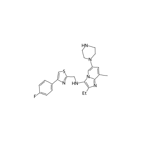 CCc1nc2c(C)cc(N3CCNCC3)cn2c1NCc1nc(-c2ccc(F)cc2)cs1